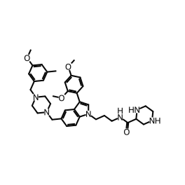 COc1cc(C)cc(CN2CCN(Cc3ccc4c(c3)c(-c3ccc(OC)cc3OC)cn4CCCNC(=O)C3CNCCN3)CC2)c1